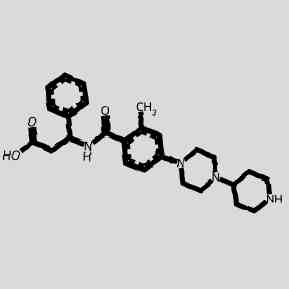 Cc1cc(N2CCN(C3CCNCC3)CC2)ccc1C(=O)NC(CC(=O)O)c1ccccc1